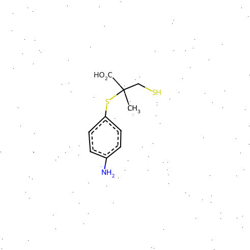 CC(CS)(Sc1ccc(N)cc1)C(=O)O